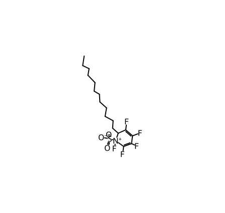 CCCCCCCCCCCCC1C(F)=C(F)C(F)=C(F)[N+]1(F)S(=O)(=O)[O-]